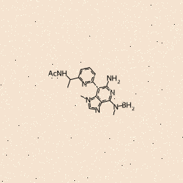 BN(C)c1nc(N)c(-c2cccc(C(C)NC(C)=O)n2)c2c1ncn2C